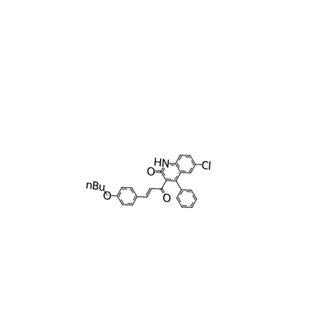 CCCCOc1ccc(C=CC(=O)c2c(-c3ccccc3)c3cc(Cl)ccc3[nH]c2=O)cc1